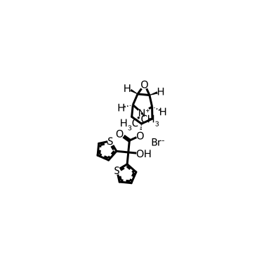 C[N+]1(C)[C@@H]2C[C@H](OC(=O)C(O)(c3cccs3)c3cccs3)C[C@H]1[C@@H]1O[C@@H]12.[Br-]